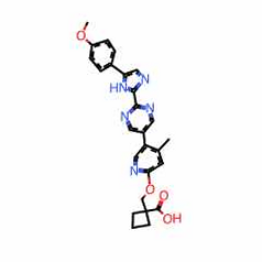 COc1ccc(-c2cnc(-c3ncc(-c4cnc(OCC5(C(=O)O)CCC5)cc4C)cn3)[nH]2)cc1